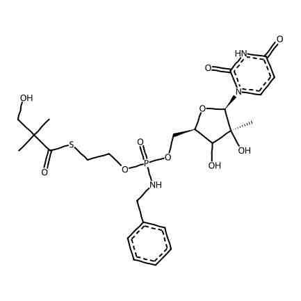 CC(C)(CO)C(=O)SCCOP(=O)(NCc1ccccc1)OC[C@H]1O[C@@H](n2ccc(=O)[nH]c2=O)[C@@](C)(O)C1O